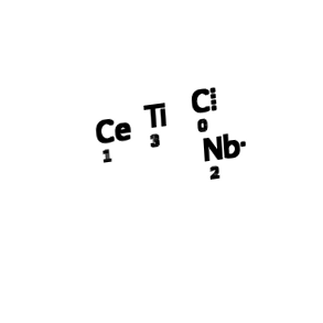 [C].[Ce].[Nb].[Ti]